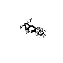 O=c1[nH]c2cc(Cl)cc(Cl)c2cc1NS(=O)(=O)C(F)(F)F